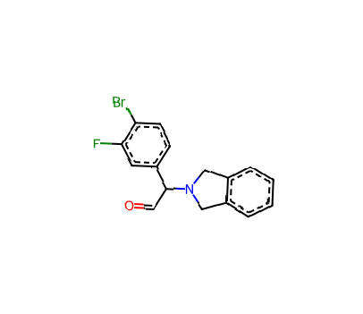 O=CC(c1ccc(Br)c(F)c1)N1Cc2ccccc2C1